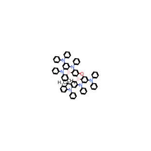 CC1(C)c2ccccc2N(c2ccccc2)c2cc3c(cc21)B1c2cc4c(cc2Oc2cc(N(c5ccccc5)c5ccccc5)cc(c21)N3c1ccccc1)N(c1ccccc1)c1cc(N(c2ccccc2)c2ccccc2)cc2c1B4c1ccccc1N2c1ccccc1